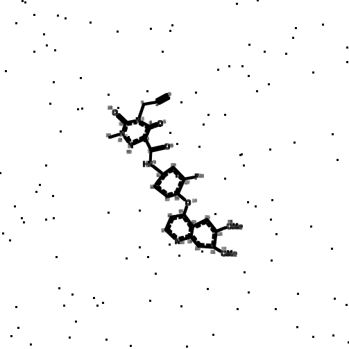 C#CCn1c(=O)c(C(=O)Nc2ccc(Oc3ccnc4cc(OC)c(OC)cc34)c(F)c2)nn(C)c1=O